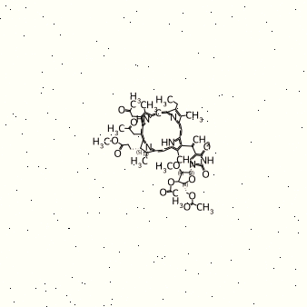 C=C(c1cn([C@@H]2O[C@H](COC(C)=O)C(OC(C)=O)[C@H]2OC)c(=O)[nH]c1=O)c1c(C)c2cc3nc(c(CC(C)=O)c4[nH]c(cc5nc(cc1[nH]2)C(C)=C5CC)c(C)c4CC(C)=O)[C@@H](CCC(=O)OC)[C@@H]3C